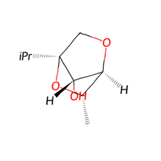 CC(C)[C@@]12CO[C@@H]([C@H](C)O1)[C@@H]2O